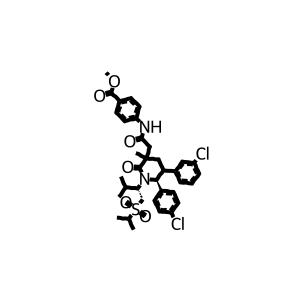 COC(=O)c1ccc(NC(=O)CC2(C)CC(c3cccc(Cl)c3)[C@@H](c3ccc(Cl)cc3)N([C@H](CS(=O)(=O)C(C)C)C(C)C)C2=O)cc1